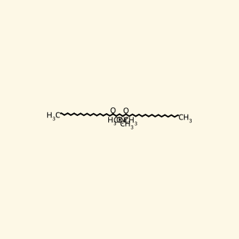 CCCCCCCCCCCCCCCCCC(=O)C(Cl)CC(C(=O)CCCCCCCCCCCCCCCCC)[N+](C)(C)C